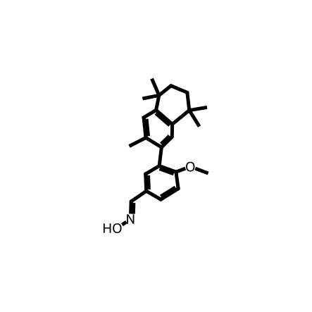 COc1ccc(/C=N/O)cc1-c1cc2c(cc1C)C(C)(C)CCC2(C)C